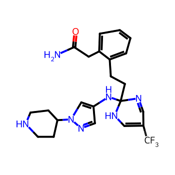 NC(=O)Cc1ccccc1CCC1(Nc2cnn(C3CCNCC3)c2)N=CC(C(F)(F)F)=CN1